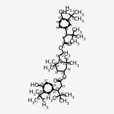 CC(C)(C)c1cc(C(CC(=O)OCCN2C(C)(C)CC(OC(=O)CC(c3ccc(O)c(C(C)(C)C)c3)C(C)(C)C)CC2(C)C)C(C)(C)C)ccc1O